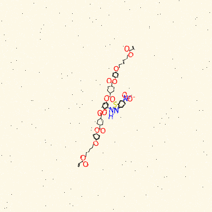 C=CC(=O)OCCCCCCOc1ccc(OC(=O)C2CCC(C(=O)Oc3ccc(OC(=O)C4CCC(C(=O)Oc5ccc(OCCCCCCOC(=O)C=C)cc5)CC4)c(Nc4nc5ccc([N+](=O)[O-])cc5s4)c3)CC2)cc1